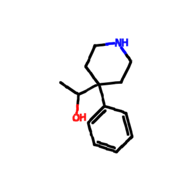 CC(O)C1(c2ccccc2)CCNCC1